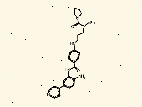 CCCCN(CCCNc1ccc(C(=O)Nc2cc(-c3ccncc3)ccc2N)cc1)C(=O)N1CCCC1